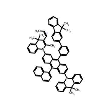 C/C=C\C1=C(C)N(c2ccc3c(-c4cccc5ccccc45)c4cc(N5c6ccccc6C(C)(C)c6ccccc65)ccc4c(-c4cccc(-c5ccc6c(c5)C(C)(C)c5ccccc5-6)c4)c3c2)c2ccccc2C1(C)C